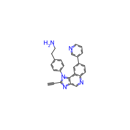 C#Cc1nc2cnc3ccc(-c4cccnc4)cc3c2n1-c1ccc(CCN)cc1